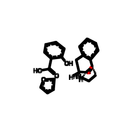 O=C(O)c1ccccc1O.c1ccc2c(c1)C[C@H]1NCC[C@@]23CCCC[C@@H]13.c1ccoc1